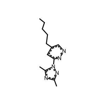 CCCCCc1cnnc(-n2nc(C)nc2C)c1